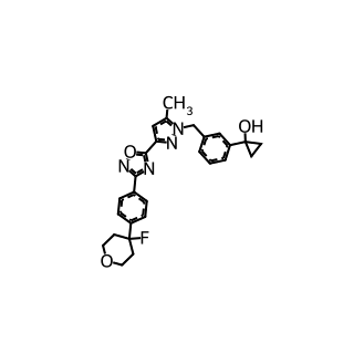 Cc1cc(-c2nc(-c3ccc(C4(F)CCOCC4)cc3)no2)nn1Cc1cccc(C2(O)CC2)c1